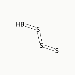 B=S=S=S